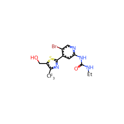 CCNC(=O)Nc1cc(-c2nc(C(F)(F)F)c(CO)s2)c(Br)cn1